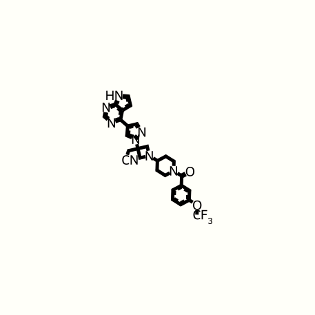 N#CCC1(n2cc(-c3ncnc4[nH]ccc34)cn2)CN(C2CCN(C(=O)c3cccc(OC(F)(F)F)c3)CC2)C1